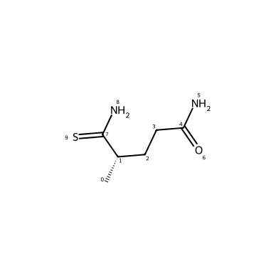 C[C@@H](CCC(N)=O)C(N)=S